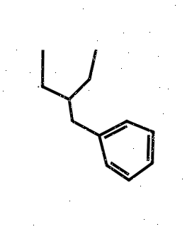 C[CH]C(CC)Cc1ccccc1